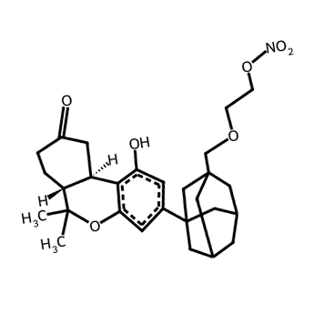 CC1(C)Oc2cc(C34CC5CC(CC(COCCO[N+](=O)[O-])(C5)C3)C4)cc(O)c2[C@@H]2CC(=O)CC[C@H]21